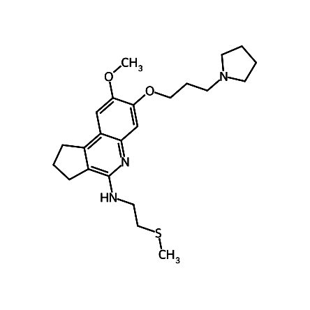 COc1cc2c3c(c(NCCSC)nc2cc1OCCCN1CCCC1)CCC3